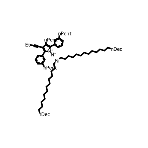 CCC#CC1=C(c2cccc(CCCCC)c2)[N+](=[N-])C(c2cccc(CCCCC)c2)=C1CCCCC.CCCCCCCCCCCCCCCCCCCCCC[CH2][Ni][CH2]CCCCCCCCCCCCCCCCCCCCCC